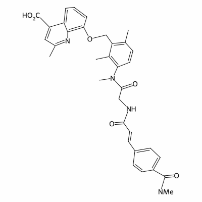 CNC(=O)c1ccc(/C=C/C(=O)NCC(=O)N(C)c2ccc(C)c(COc3cccc4c(C(=O)O)cc(C)nc34)c2C)cc1